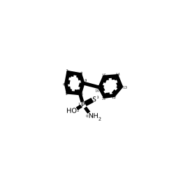 NP(O)(=S)c1ccccc1-c1ccccc1